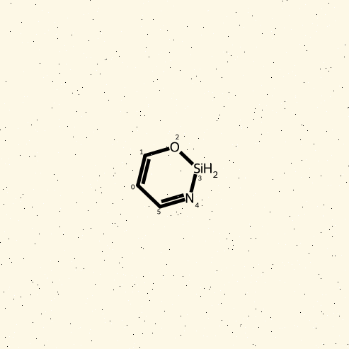 C1=CO[SiH2]N=C1